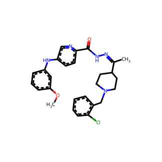 COc1cccc(Nc2ccc(C(=O)NN=C(C)C3CCN(Cc4ccccc4Cl)CC3)nc2)c1